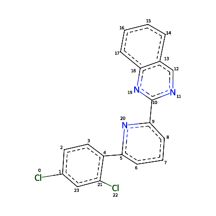 Clc1ccc(-c2cccc(-c3ncc4ccccc4n3)n2)c(Cl)c1